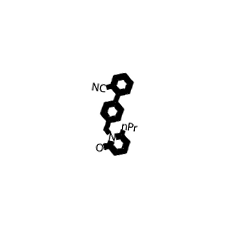 CCCc1cccc(=O)n1Cc1ccc(-c2ccccc2C#N)cc1